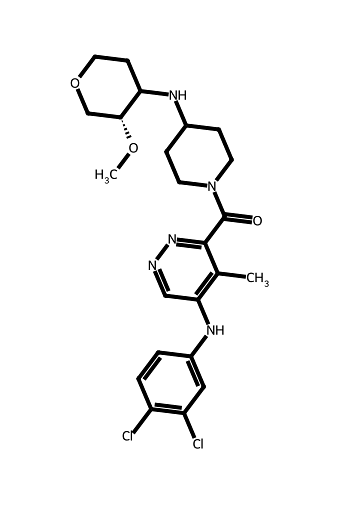 CO[C@@H]1COCCC1NC1CCN(C(=O)c2nncc(Nc3ccc(Cl)c(Cl)c3)c2C)CC1